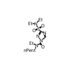 CCCCCN(CC)C(=O)n1cnc(S(=O)(=O)N(CC)CC)n1